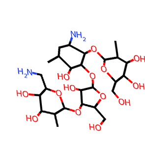 CC1CC(N)C(OC2OC(CO)C(O)C(O)C2C)C(OC2OC(CO)C(OC3OC(CN)C(O)C(O)C3C)C2O)C1O